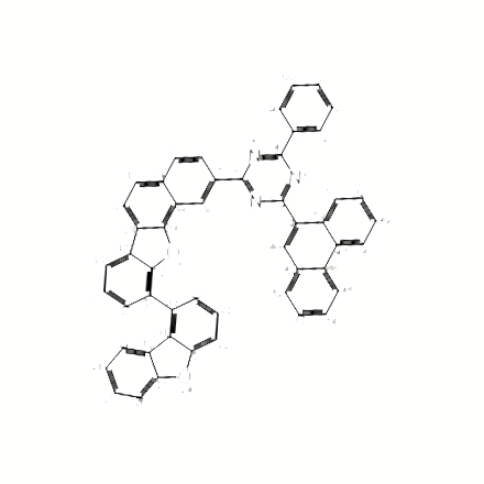 c1ccc(-c2nc(-c3ccc4ccc5c6cccc(-c7cccc8oc9ccccc9c78)c6oc5c4c3)nc(-c3cc4ccccc4c4ccccc34)n2)cc1